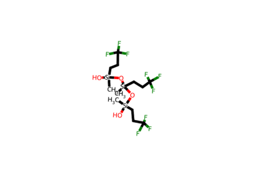 C[Si](O)(CCC(F)(F)F)O[Si](C)(CCC(F)(F)F)O[Si](C)(O)CCC(F)(F)F